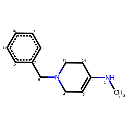 CNC1=CCN(Cc2ccccc2)CC1